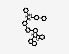 c1ccc(-c2ccc(-c3nc(-c4ccccc4)nc(-c4cccc(-c5cccc(-c6cccc7c6nc(-c6cccc8ccccc68)c6oc8ccccc8c67)c5)c4)n3)cc2)cc1